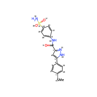 CSc1ccc(-c2cc(C(=O)Nc3ccc(S(N)(=O)=O)cc3)n[nH]2)cc1